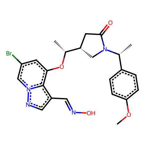 COc1ccc([C@@H](C)N2C[C@H]([C@@H](C)Oc3cc(Br)cn4ncc(/C=N/O)c34)CC2=O)cc1